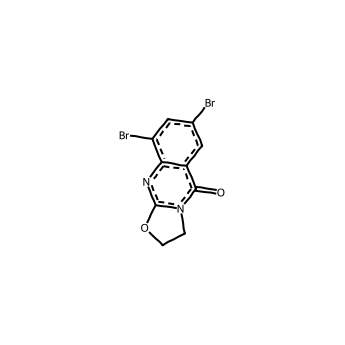 O=c1c2cc(Br)cc(Br)c2nc2n1CCO2